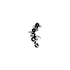 Cc1c(/C=C2\C(=O)Nc3ccc(S(=O)(=O)Cc4c(Cl)cccc4Cl)cc32)[nH]c2c1C(=O)N(CCN1CCOCC1)CCC2